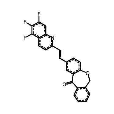 O=C1c2ccccc2COc2ccc(/C=C/c3ccc4c(F)c(F)c(F)cc4n3)cc21